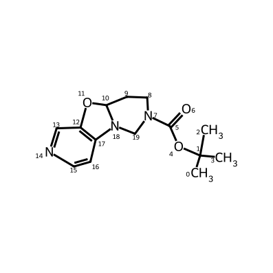 CC(C)(C)OC(=O)N1CCC2Oc3cnccc3N2C1